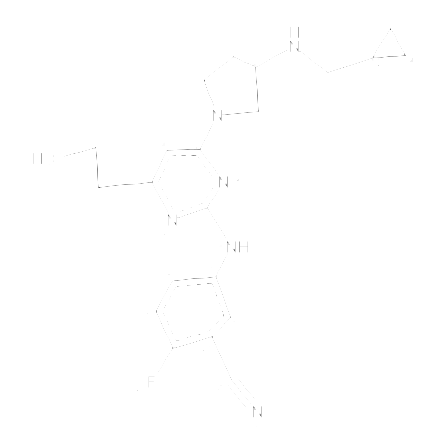 CCCc1cc(N2CCC(NCC3CC3)C2)nc(Nc2ccc(F)c(C#N)c2)n1